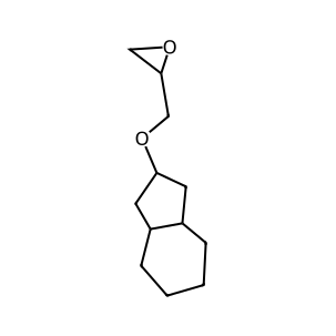 C1CCC2CC(OCC3CO3)CC2C1